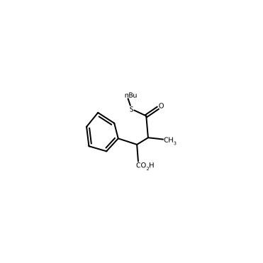 CCCCSC(=O)C(C)C(C(=O)O)c1ccccc1